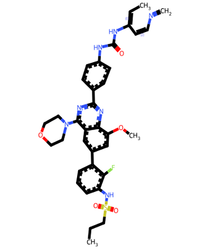 C=N/C=C\C(=C/C)NC(=O)Nc1ccc(-c2nc(N3CCOCC3)c3cc(-c4cccc(NS(=O)(=O)CCC)c4F)cc(OC)c3n2)cc1